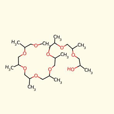 COCC(C)OCC(C)OCC(C)OCC(C)OCC(C)OCC(C)OCC(C)OCC(C)O